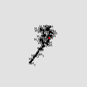 Cc1c(N)nc([C@H](CC(N)=O)NC[C@H](N)C(N)=O)nc1C(=O)N[C@H](C(=O)N[C@H](C)[C@@H](O)CC(=O)N[C@H](C(=O)NC(O[C@@H]1O[C@@H](C)[C@@H](N)[C@@H](O)[C@H]1O)C(O)c1nc(-c2nc(C(=O)NCCCC(N)CC(=O)NCCCNCCCCN)cs2)cs1)[C@@H](C)O)[C@H](O[C@@H]1O[C@@H](CO)[C@@H](O)[C@H](O)[C@@H]1O[C@H]1O[C@H](CO)[C@@H](O)[C@H](OC(N)=O)[C@@H]1O)c1c[nH]cn1